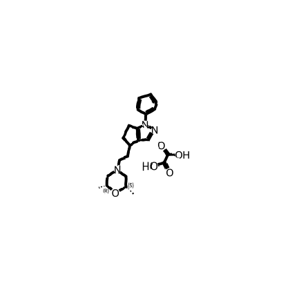 C[C@@H]1CN(CCC2CCc3c2cnn3-c2ccccc2)C[C@H](C)O1.O=C(O)C(=O)O